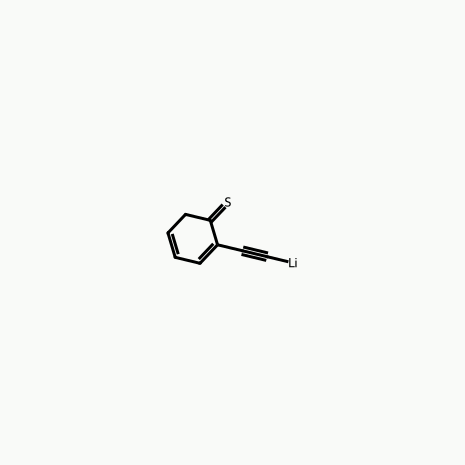 [Li][C]#CC1=CC=CCC1=S